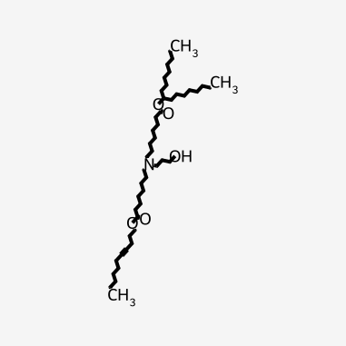 CCCCCCC#CCCCOC(=O)CCCCCCCN(CCCO)CCCCCCCC(=O)OC(CCCCCCCC)CCCCCCCC